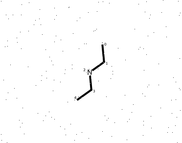 [CH2]C[N]C[CH2]